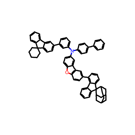 c1ccc(-c2ccc(N(c3cccc(-c4ccc5c(c4)-c4ccccc4C54CCCCC4)c3)c3ccc4oc5ccc(-c6cccc7c6-c6ccccc6C76C7CC8CC(C7)CC6C8)cc5c4c3)cc2)cc1